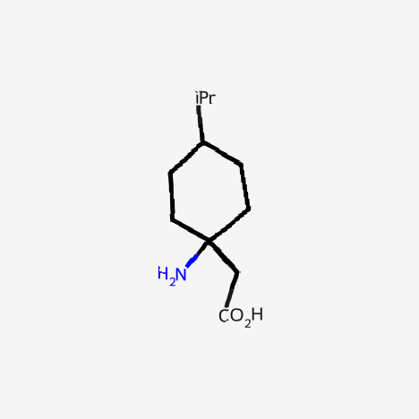 CC(C)C1CCC(N)(CC(=O)O)CC1